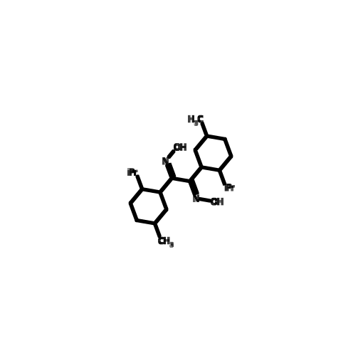 CC1CCC(C(C)C)C(C(=NO)C(=NO)C2CC(C)CCC2C(C)C)C1